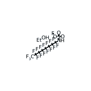 CCO.O=S(=O)(NC(F)(F)C(F)(F)C(F)(F)C(F)(F)C(F)(F)C(F)(F)C(F)(F)C(F)(F)F)OF